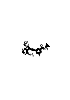 Nc1ncnc2c1c(C#Cc1cc(F)cc(C(=O)NC3CC3)c1)cn2CC(F)(F)F